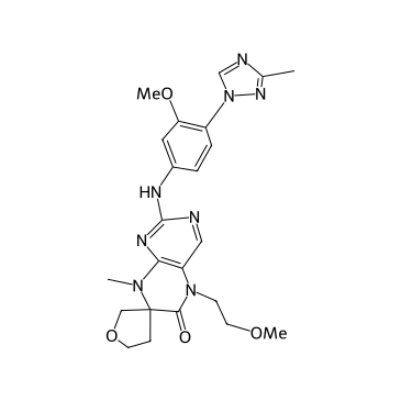 COCCN1C(=O)C2(CCOC2)N(C)c2nc(Nc3ccc(-n4cnc(C)n4)c(OC)c3)ncc21